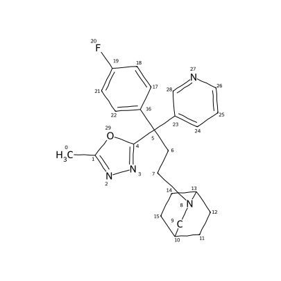 Cc1nnc(C(CCN2CC3CCC2CC3)(c2ccc(F)cc2)c2cccnc2)o1